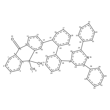 CC1(C)c2ccccc2C(=O)c2ccc(-c3ccccc3-c3ccccc3-c3cc(-c4ccccc4)nc(-c4ccccc4)c3)cc21